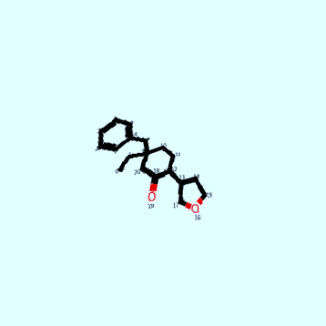 CCC1(Cc2ccccc2)CCC(C2CCOC2)C(=O)C1